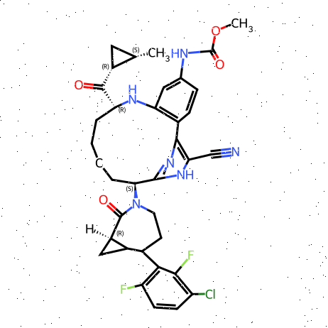 COC(=O)Nc1ccc2c(c1)N[C@@H](C(=O)[C@@H]1C[C@@H]1C)CCCC[C@H](N1CCC(c3c(F)ccc(Cl)c3F)C3C[C@H]3C1=O)c1nc-2c(C#N)[nH]1